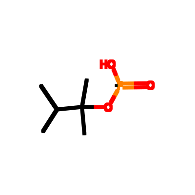 CC(C)C(C)(C)O[P](=O)O